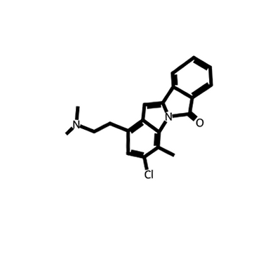 Cc1c(Cl)cc(CCN(C)C)c2cc3n(c12)C(=O)c1ccccc1-3